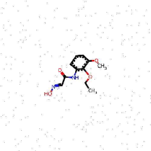 CCOc1c(NC(=O)/C=N/O)cccc1OC